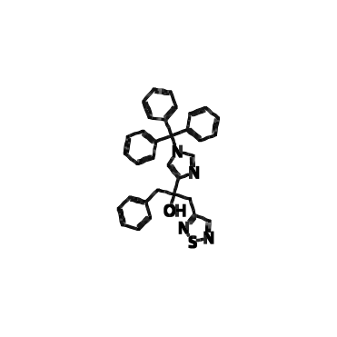 OC(Cc1ccccc1)(Cc1cnsn1)c1cn(C(c2ccccc2)(c2ccccc2)c2ccccc2)cn1